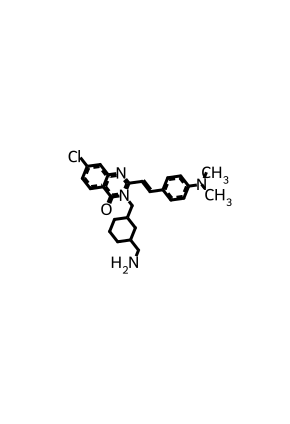 CN(C)c1ccc(C=Cc2nc3cc(Cl)ccc3c(=O)n2CC2CCCC(CN)C2)cc1